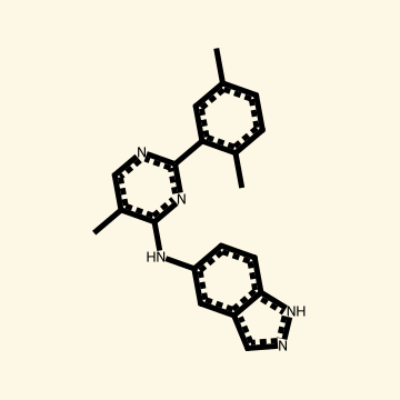 Cc1ccc(C)c(-c2ncc(C)c(Nc3ccc4[nH]ncc4c3)n2)c1